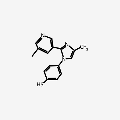 Cc1cncc(-c2nc(C(F)(F)F)cn2-c2ccc(S)cc2)c1